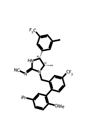 COc1ccc(C(C)C)cc1-c1ccc(C(F)(F)F)cc1CN1C(=NC#N)N[C@H](c2cc(C)cc(C(F)(F)F)c2)[C@@H]1C